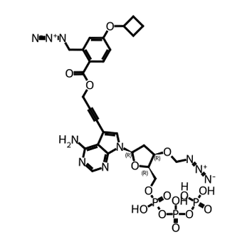 [N-]=[N+]=NCO[C@@H]1C[C@H](n2cc(C#CCOC(=O)c3ccc(OC4CCC4)cc3CN=[N+]=[N-])c3c(N)ncnc32)O[C@@H]1COP(=O)(O)OP(=O)(O)OP(=O)(O)O